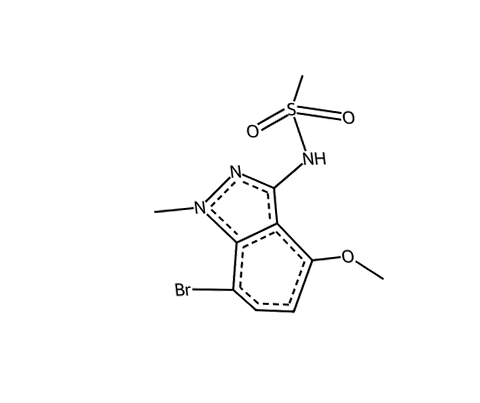 COc1ccc(Br)c2c1c(NS(C)(=O)=O)nn2C